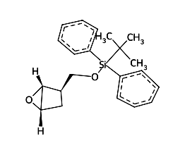 CC(C)(C)[Si](OC[C@H]1C[C@@H]2O[C@H]12)(c1ccccc1)c1ccccc1